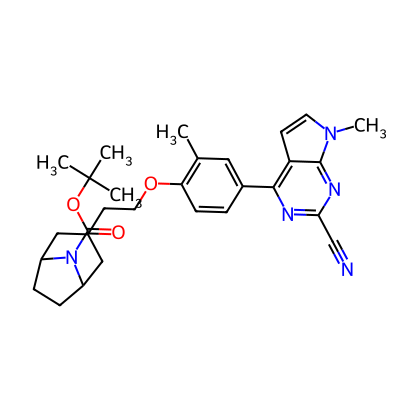 Cc1cc(-c2nc(C#N)nc3c2ccn3C)ccc1OCCC1CC2CCC(C1)N2C(=O)OC(C)(C)C